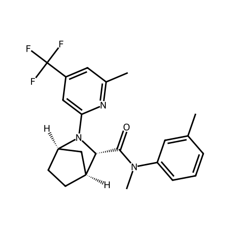 Cc1cccc(N(C)C(=O)[C@@H]2[C@H]3CC[C@H](C3)N2c2cc(C(F)(F)F)cc(C)n2)c1